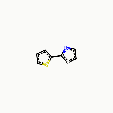 c1csc(-c2ncc[se]2)c1